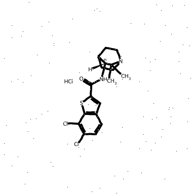 CC1(C)[C@H](NC(=O)c2cc3ccc(Cl)c(Cl)c3s2)C2CCN1CC2.Cl